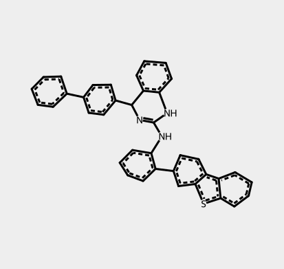 c1ccc(-c2ccc(C3N=C(Nc4ccccc4-c4ccc5c(c4)sc4ccccc45)Nc4ccccc43)cc2)cc1